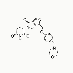 O=C1CC[C@H](N2Cc3c(csc3COc3ccc(CN4CCOCC4)cc3)C2=O)C(=O)N1